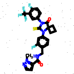 Cn1nccc1C(=O)NCc1ccc(N2C(=S)N(c3ccc(F)c(C(F)(F)F)c3)C(=O)C23CCC3)cc1F